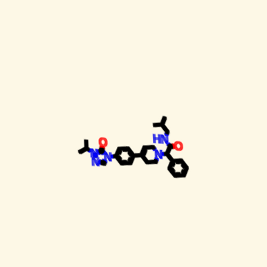 CC(C)CNC(=O)C(c1ccccc1)N1CC=C(c2ccc(-n3cnn(C(C)C)c3=O)cc2)CC1